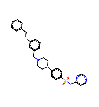 O=S(=O)(Nc1ccncn1)c1ccc(N2CCN(Cc3cccc(OCc4ccccc4)c3)CC2)cc1